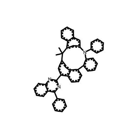 CC1(C)c2cc(-c3nc(-c4ccccc4)c4ccccc4n3)c3cccc(c3c2)-c2ccccc2N(c2ccccc2)c2cc1c1ccccc1c2